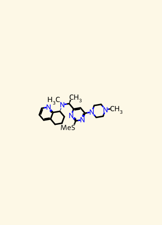 CSc1nc([C@H](C)N(C)[C@@H]2CCCc3cccnc32)cc(N2CCN(C)CC2)n1